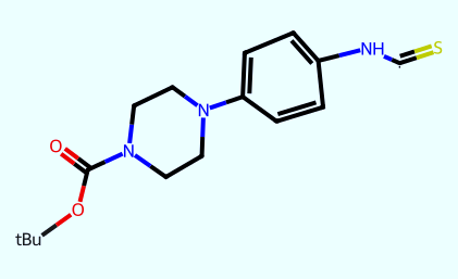 CC(C)(C)OC(=O)N1CCN(c2ccc(N[C]=S)cc2)CC1